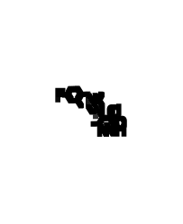 C=C1CN(c2c(C)n[nH]c(=O)c2Cl)CCN1Cc1ccc(F)cc1C